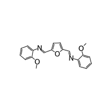 COc1ccccc1N=Cc1ccc(C=Nc2ccccc2OC)o1